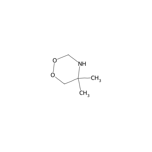 CC1(C)COOCN1